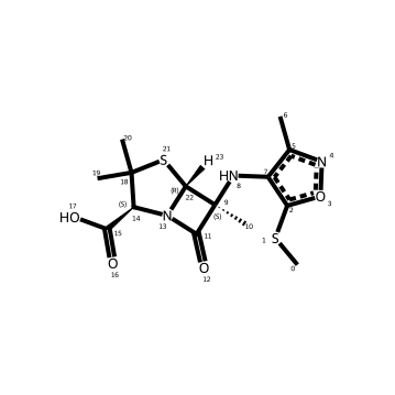 CSc1onc(C)c1N[C@@]1(C)C(=O)N2[C@@H](C(=O)O)C(C)(C)S[C@@H]21